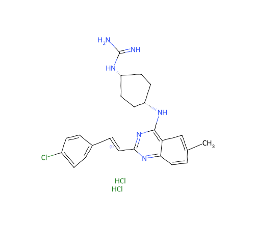 Cc1ccc2nc(/C=C/c3ccc(Cl)cc3)nc(N[C@H]3CC[C@@H](NC(=N)N)CC3)c2c1.Cl.Cl